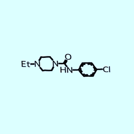 CCN1CCN(C(=O)Nc2ccc(Cl)cc2)CC1